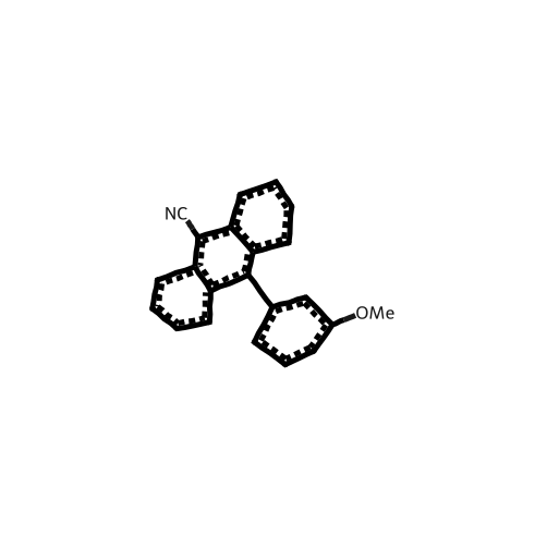 COc1cccc(-c2c3ccccc3c(C#N)c3ccccc23)c1